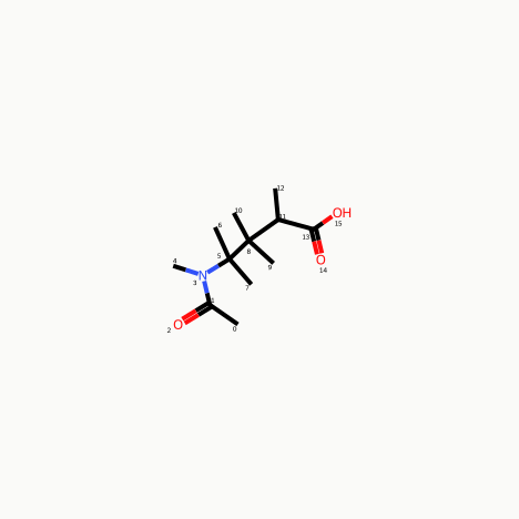 CC(=O)N(C)C(C)(C)C(C)(C)C(C)C(=O)O